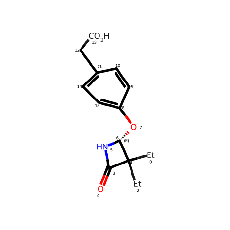 CCC1(CC)C(=O)N[C@@H]1Oc1ccc(CC(=O)O)cc1